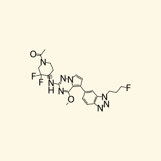 COc1nc(N[C@@H]2CCN(C(C)=O)CC2(F)F)nn2ccc(-c3ccc4nnn(CCCF)c4c3)c12